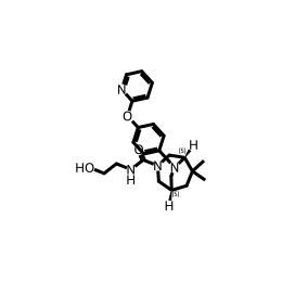 CC1(C)C[C@@H]2CN(C(=O)NCCO)C[C@H]1N(c1ccc(Oc3ccccn3)cc1)C2